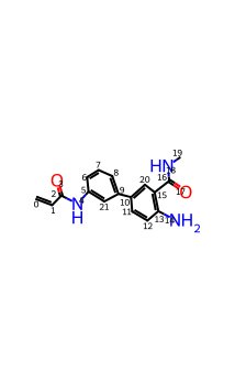 C=CC(=O)Nc1cccc(-c2ccc(N)c(C(=O)NC)c2)c1